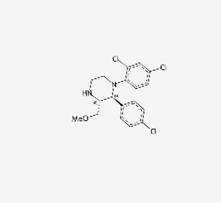 COC[C@@H]1NCCN(c2ccc(Cl)cc2Cl)[C@H]1c1ccc(Cl)cc1